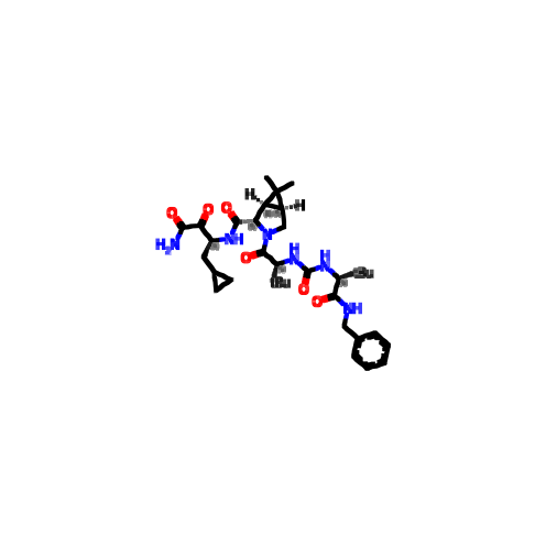 CC(C)(C)[C@H](NC(=O)N[C@H](C(=O)N1C[C@H]2[C@@H]([C@H]1C(=O)N[C@@H](CC1CC1)C(=O)C(N)=O)C2(C)C)C(C)(C)C)C(=O)NCc1ccccc1